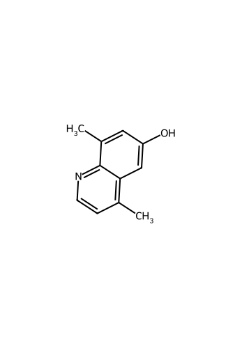 Cc1ccnc2c(C)cc(O)cc12